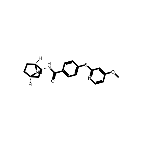 COc1ccnc(Sc2ccc(C(=O)N[C@@H]3C[C@H]4CC[C@@H]3N4)cc2)c1